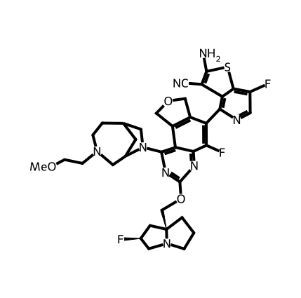 COCCN1CCC2CC(C1)N(c1nc(OC[C@@]34CCCN3C[C@@H](F)C4)nc3c(F)c(-c4ncc(F)c5sc(N)c(C#N)c45)c4c(c13)COC4)C2